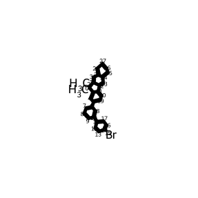 CC1(C)c2cc(-c3cccc(-c4ccc(Br)cc4)c3)ccc2-c2cc3ccccc3cc21